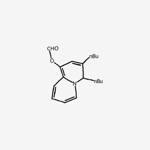 CCCCC1=CC(OC=O)=C2C=CC=CN2C1CCCC